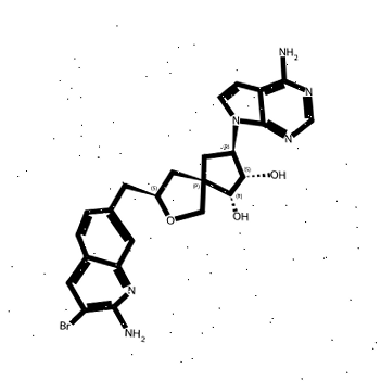 Nc1nc2cc(C[C@H]3C[C@@]4(CO3)C[C@@H](n3ccc5c(N)ncnc53)[C@H](O)[C@@H]4O)ccc2cc1Br